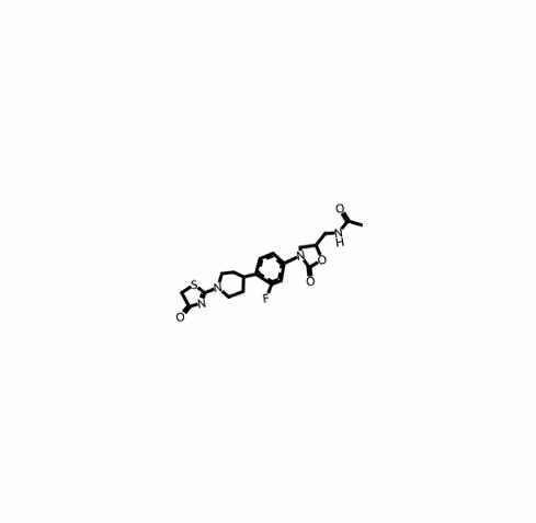 CC(=O)NCC1CN(c2ccc(C3CCN(C4=NC(=O)CS4)CC3)c(F)c2)C(=O)O1